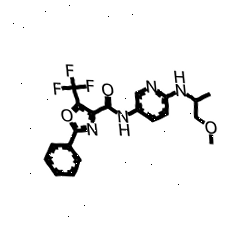 COCC(C)Nc1ccc(NC(=O)c2nc(-c3ccccc3)oc2C(F)(F)F)cn1